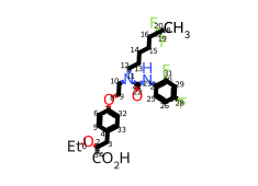 CCOC(Cc1ccc(OCCN(CCCCCC(C)(F)F)C(=O)Nc2ccc(F)cc2F)cc1)C(=O)O